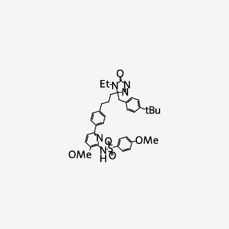 CCN1C(=O)N=NC1(CCCc1ccc(-c2ccc(OC)c(NS(=O)(=O)c3ccc(OC)cc3)n2)cc1)Cc1ccc(C(C)(C)C)cc1